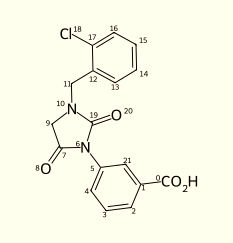 O=C(O)c1cccc(N2C(=O)CN(Cc3ccccc3Cl)C2=O)c1